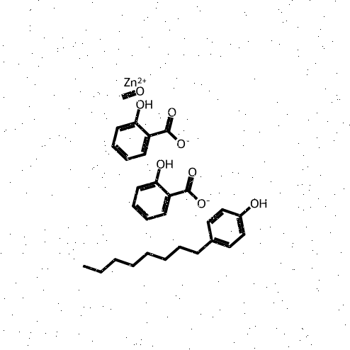 C=O.CCCCCCCCc1ccc(O)cc1.O=C([O-])c1ccccc1O.O=C([O-])c1ccccc1O.[Zn+2]